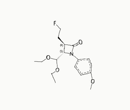 CCOC(OCC)[C@@H]1[C@@H](CCF)C(=O)N1c1ccc(OC)cc1